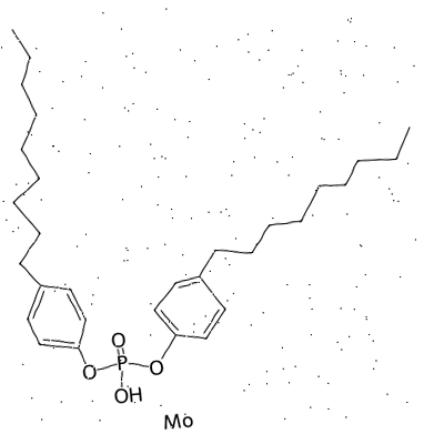 CCCCCCCCCc1ccc(OP(=O)(O)Oc2ccc(CCCCCCCCC)cc2)cc1.[Mo]